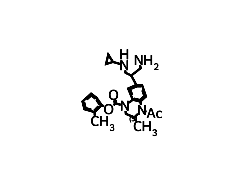 CC(=O)N1c2ccc(C(CN)CNC3CC3)cc2N(C(=O)Oc2ccccc2C)C[C@@H]1C